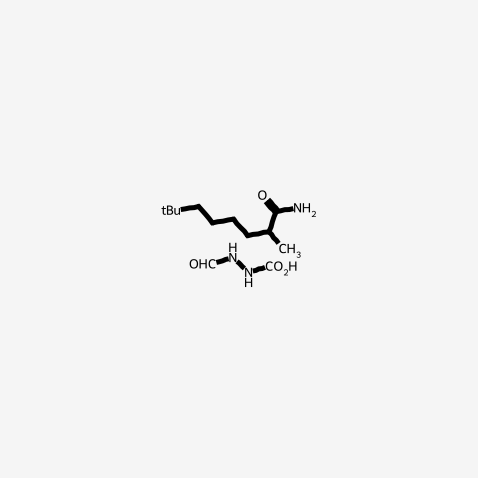 CC(CCCCC(C)(C)C)C(N)=O.O=CNNC(=O)O